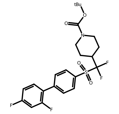 CC(C)(C)OC(=O)N1CCC(C(F)(F)S(=O)(=O)c2ccc(-c3ccc(F)cc3F)cc2)CC1